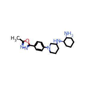 Cc1nnc(-c2ccc(N3CCCC(N[C@@H]4CCCC[C@H]4N)C3)cc2)o1